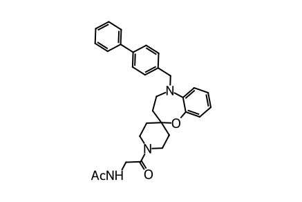 CC(=O)NCC(=O)N1CCC2(CC1)CCN(Cc1ccc(-c3ccccc3)cc1)c1ccccc1O2